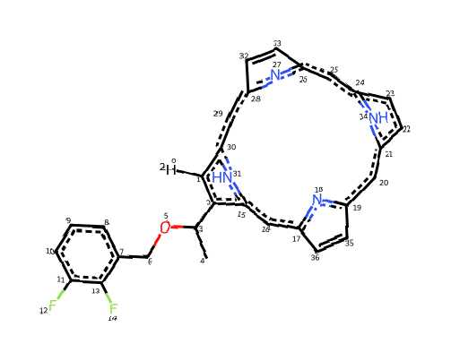 [2H]c1c(C(C)OCc2cccc(F)c2F)c2cc3nc(cc4ccc(cc5nc(cc1[nH]2)C=C5)[nH]4)C=C3